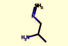 CC(N)CN=[SiH2]